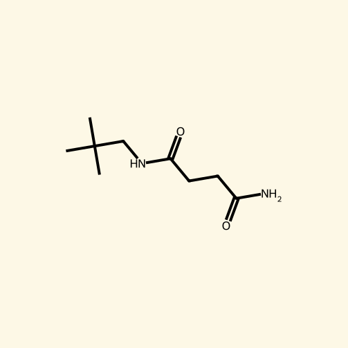 CC(C)(C)CNC(=O)CCC(N)=O